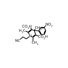 CC1=C(C(=O)O)C(C)(c2cccc([N+](=O)[O-])c2)C(C(=O)O)=C(C)N1CCC#N